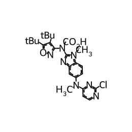 CN(c1ccc2c(c1)nc(N(C(=O)O)c1noc(C(C)(C)C)c1C(C)(C)C)n2C)c1ccnc(Cl)n1